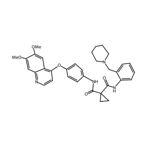 COc1cc2nccc(Oc3ccc(NC(=O)C4(C(=O)Nc5ccccc5CN5CCCCC5)CC4)cc3)c2cc1OC